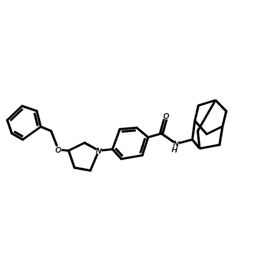 O=C(NC1C2CC3CC(C2)CC1C3)c1ccc(N2CCC(OCc3ccccc3)C2)cc1